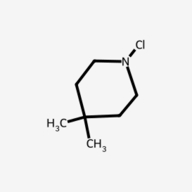 CC1(C)CCN(Cl)CC1